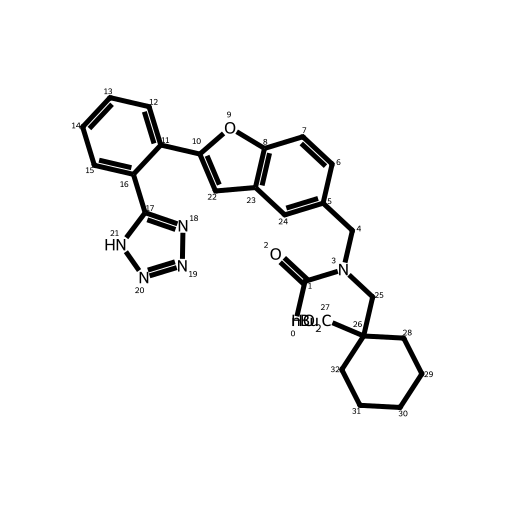 CCCCC(=O)N(Cc1ccc2oc(-c3ccccc3-c3nnn[nH]3)cc2c1)CC1(C(=O)O)CCCCC1